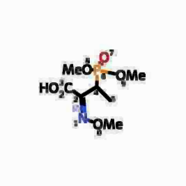 CO/N=C(/C(=O)O)C(C)P(=O)(OC)OC